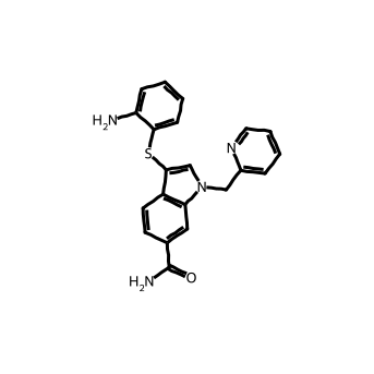 NC(=O)c1ccc2c(Sc3ccccc3N)cn(Cc3ccccn3)c2c1